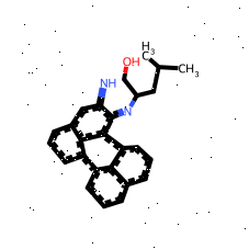 CC(C)CC(CO)N=c1c(=N)cc2cccc3c4cccc5cccc(c1c23)c54